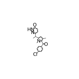 Cc1cc(C(C)c2ccc(=O)[nH]n2)n(C)c1C(=O)c1ccc(Cl)cc1